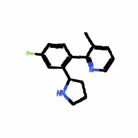 Cc1cccnc1-c1ccc(F)cc1C1CCCN1